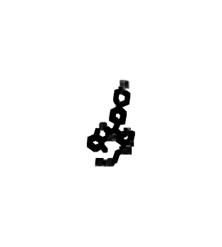 CCN1CCN(c2ccc(C(C(=O)Nc3c(C)cccc3C)c3cc(NCCOC)ncn3)cc2)CC1